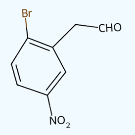 O=CCc1cc([N+](=O)[O-])ccc1Br